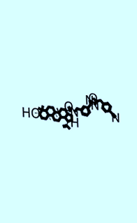 C=C(C)[C@@H]1CC[C@]2(C(=O)NCc3cccc(-c4noc(Cc5ccc(C#N)cc5)n4)c3)CC[C@]3(C)C(CCC4[C@@]5(C)CC[C@H](O)C(C)(C)C5CC[C@]43C)C12